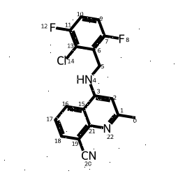 Cc1cc(NCc2c(F)ccc(F)c2Cl)c2cccc(C#N)c2n1